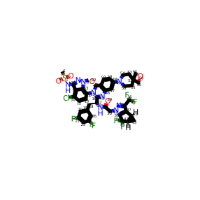 Cn1nc(NS(C)(=O)=O)c2c(Cl)ccc(-n3c([C@H](Cc4cc(F)cc(F)c4)NC(=O)Cn4nc(C(F)F)c5c4C(F)(F)[C@@H]4C[C@H]54)nc4cc(N5CCC6(CC5)COC6)ccc4c3=O)c21